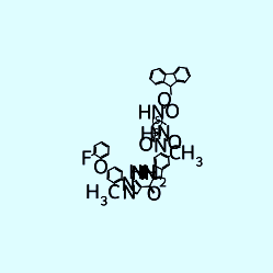 Cc1cc2cc(C(=O)c3cnn(-c4ccc(Oc5ccccc5F)cc4C)c3N)[nH]c2cc1N1C(=O)[C@@H]2C[C@H](NC(=O)OCC3c4ccccc4-c4ccccc43)CN2C1=O